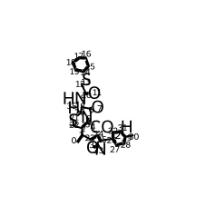 C=C(C1=C(C(=O)O)N2C(=O)[C@@H](NC(=O)CSc3ccccc3)[C@H]2SC1)c1cc(-c2ccc(C)cc2)no1